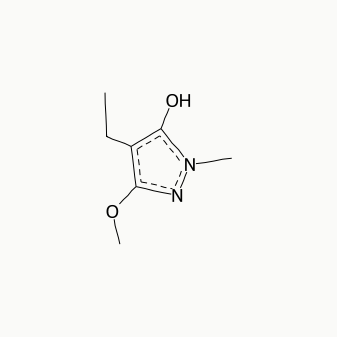 CCc1c(OC)nn(C)c1O